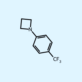 FC(F)(F)c1ccc(N2CCC2)cc1